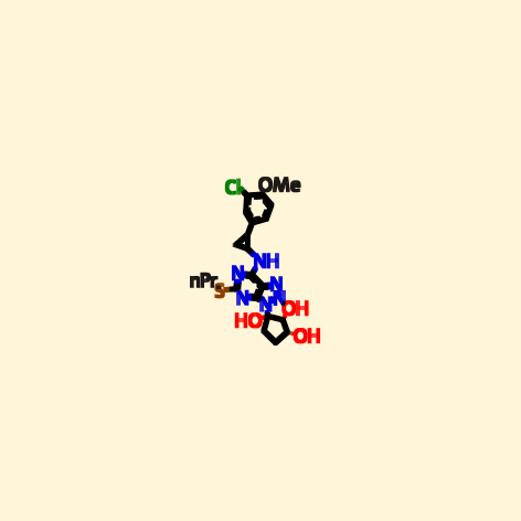 CCCSc1nc(NC2CC2c2ccc(OC)c(Cl)c2)c2nnn([C@@]3(O)CC[C@@H](O)[C@H]3O)c2n1